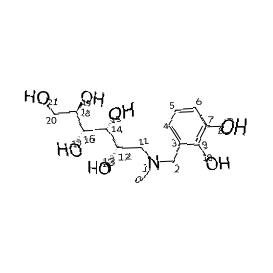 CN(Cc1cccc(O)c1O)C[C@H](O)[C@@H](O)[C@H](O)[C@H](O)CO